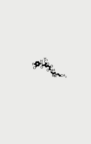 C=CCn1cc(CNC(=O)C(=O)c2cc(C(=O)Nc3ccc(F)c(Cl)c3)c(C)o2)nn1